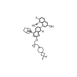 C#Cc1c(F)ccc2cc(O)cc(-c3ccc4c(N5CC6CCC(C5)N6)nc(OCC5(CN6CCC7(CC6)CC(F)(F)C7)CC5)nc4c3F)c12